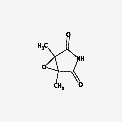 CC12OC1(C)C(=O)NC2=O